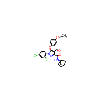 CCOc1ccc(Oc2c(C=O)c(C(=O)NC34CCC(CC3)C4)nn2-c2ccc(Cl)cc2Cl)cc1